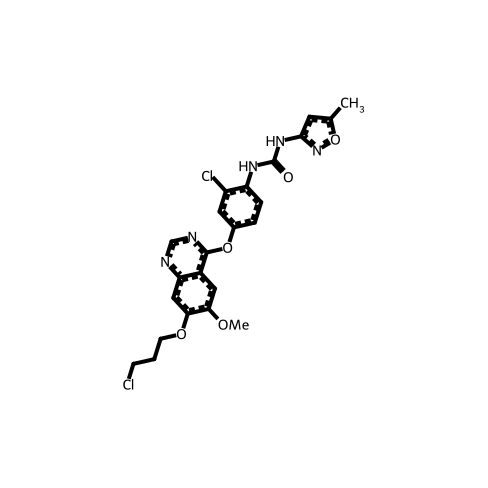 COc1cc2c(Oc3ccc(NC(=O)Nc4cc(C)on4)c(Cl)c3)ncnc2cc1OCCCCl